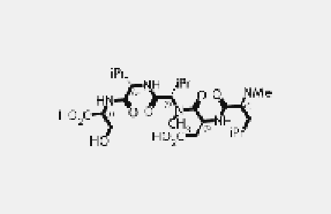 CN[C@@H](CC(C)C)C(=O)N[C@@H](CC(=O)O)C(=O)N(C)[C@H](C(=O)N[C@H](C(=O)N[C@@H](CO)C(=O)O)C(C)C)C(C)C